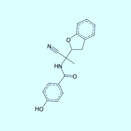 CC(C#N)(NC(=O)c1ccc(O)cc1)C1Cc2ccccc2O1